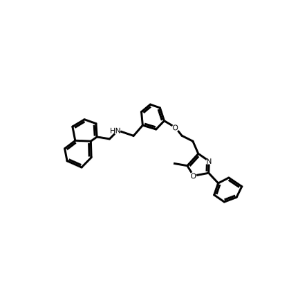 Cc1oc(-c2ccccc2)nc1CCOc1cccc(CNCc2cccc3ccccc23)c1